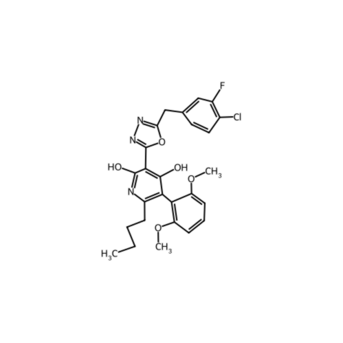 CCCCc1nc(O)c(-c2nnc(Cc3ccc(Cl)c(F)c3)o2)c(O)c1-c1c(OC)cccc1OC